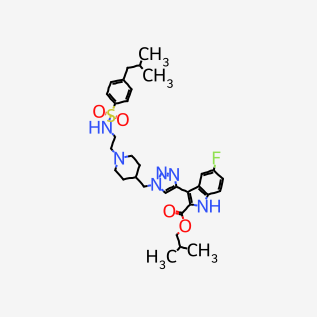 CC(C)COC(=O)c1[nH]c2ccc(F)cc2c1-c1cn(CC2CCN(CCNS(=O)(=O)c3ccc(CC(C)C)cc3)CC2)nn1